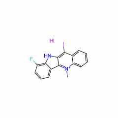 C[n+]1c2ccccc2c(I)c2[nH]c3c(F)cccc3c21.I